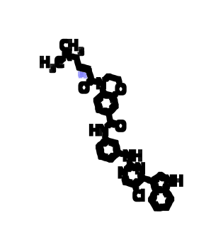 CN(C)C/C=C/C(=O)N1CCOc2cc(C(=O)Nc3cccc(Nc4ncc(Cl)c(-c5c[nH]c6ccccc56)n4)c3)ccc21